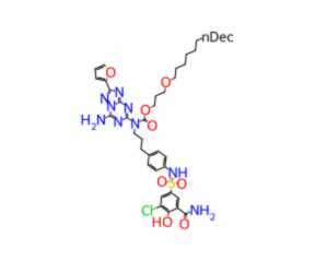 CCCCCCCCCCCCCCCCOCCCOC(=O)N(CCCc1ccc(NS(=O)(=O)c2cc(Cl)c(O)c(C(N)=O)c2)cc1)c1nc(N)n2nc(-c3ccco3)nc2n1